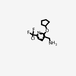 NCc1ccc(C(F)(F)Cl)nc1OC1CCCC1